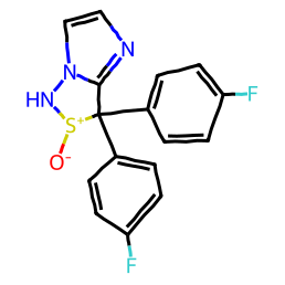 [O-][S+]1Nn2ccnc2C1(c1ccc(F)cc1)c1ccc(F)cc1